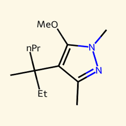 CCCC(C)(CC)c1c(C)nn(C)c1OC